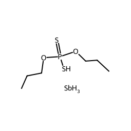 CCCOP(=S)(S)OCCC.[SbH3]